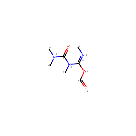 C/N=C(/OC=O)N(C)C(=O)N(C)C